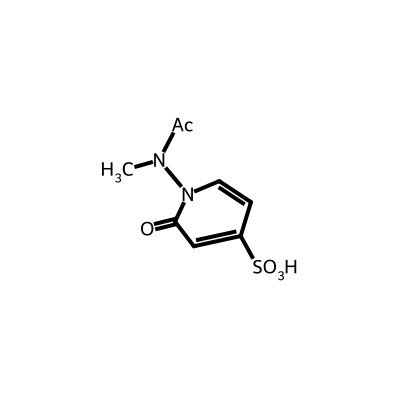 CC(=O)N(C)n1ccc(S(=O)(=O)O)cc1=O